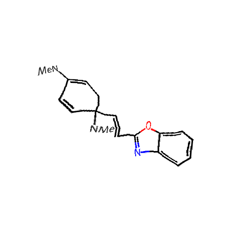 CNC1=CCC(C=Cc2nc3ccccc3o2)(NC)C=C1